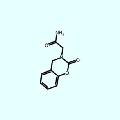 NC(=O)CN1Cc2ccccc2OC1=O